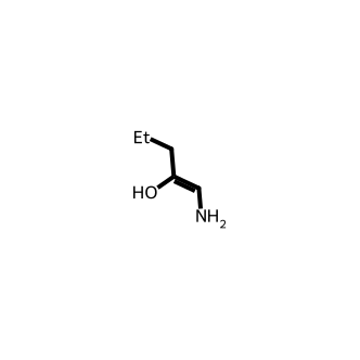 CCCC(O)=CN